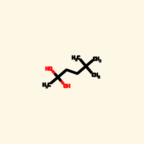 CC(C)(C)CCC(C)(O)O